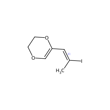 C/C(I)=C\C1=COCCO1